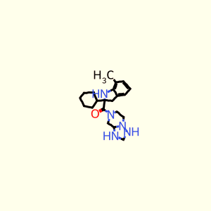 Cc1cccc2c1NC(C(=O)N1CCN3NCNC3C1)(C1CCCCC1)C2